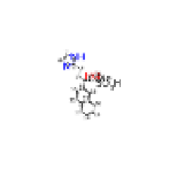 COC(CCc1ncc[nH]1)c1ccc2ccccc2c1.O=S(=O)(O)O